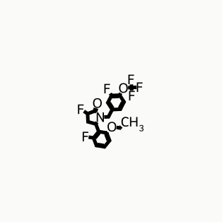 CCOc1cccc(F)c1C1CC(F)C(=O)N1Cc1ccc(OC(F)(F)F)c(F)c1